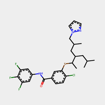 CC(C)CC(CC(C)Cn1cccn1)C(C)Sc1cc(C(=O)Nc2cc(F)c(F)c(F)c2)ccc1Cl